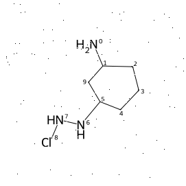 NC1CCCC(NNCl)C1